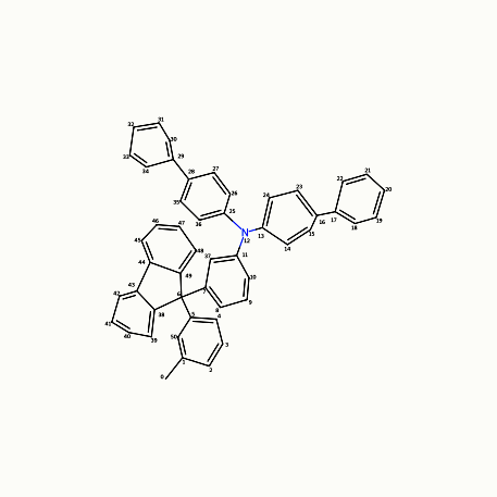 Cc1cccc(C2(c3cccc(N(c4ccc(-c5ccccc5)cc4)c4ccc(-c5ccccc5)cc4)c3)c3ccccc3-c3ccccc32)c1